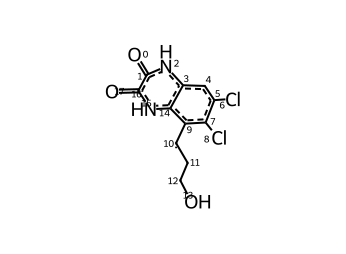 O=c1[nH]c2cc(Cl)c(Cl)c([CH]CCO)c2[nH]c1=O